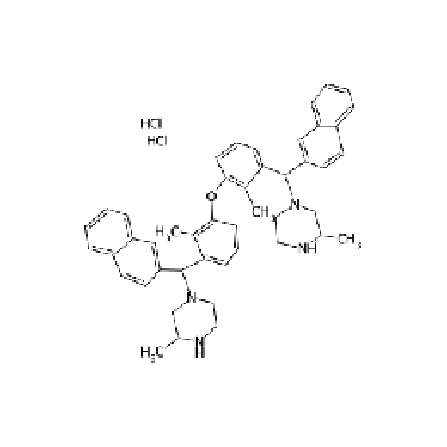 Cc1c(Oc2cccc(C(c3ccc4ccccc4c3)N3CCNC(C)C3)c2C)cccc1C(c1ccc2ccccc2c1)N1CCNC(C)C1.Cl.Cl